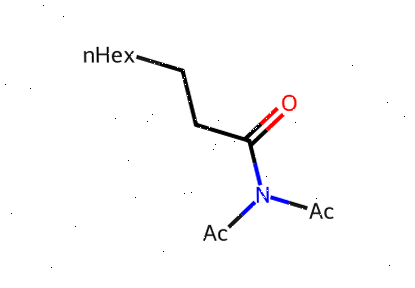 CCCCCCCCC(=O)N(C(C)=O)C(C)=O